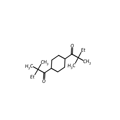 CCC(C)(C)C(=O)C1CCC(C(=O)C(C)(C)CC)CC1